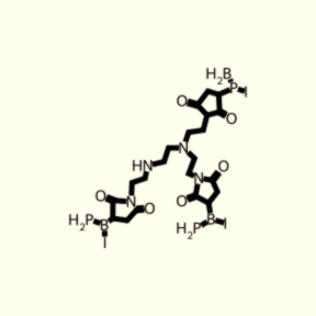 BP(I)C1CC(=O)C(CCN(CCNCCN2C(=O)CC(B(P)I)C2=O)CCN2C(=O)CC(B(P)I)C2=O)C1=O